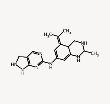 CC(C)=C1C=C(Nc2ncc3c(n2)NNC3)C=C2NC(C)NCC21